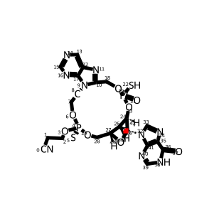 N#CCCOP1(=S)OCCn2c(nc3cncnc32)COP(=O)(S)O[C@@H]2[C@H](F)[C@@H](CO1)O[C@H]2n1cnc2c(=O)[nH]cnc21